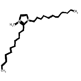 CCCCCCCCCCCc1n(CCCCCCCCCCC)cc[n+]1C